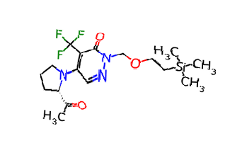 CC(=O)[C@@H]1CCCN1c1cnn(COCC[Si](C)(C)C)c(=O)c1C(F)(F)F